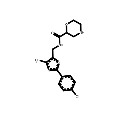 Cc1nc(-c2ccc(Cl)cc2)sc1CNC(=O)C1CNCCO1